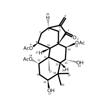 C=C1C(=O)[C@]23C[C@H]1C[C@H](OC(C)=O)[C@H]2[C@]1(C)[C@@H](OC(C)=O)C[C@H](O)C(C)(C)[C@H]1[C@@H](O)[C@@H]3OC(C)=O